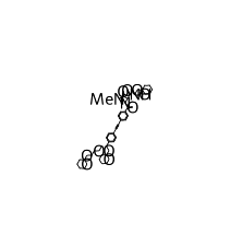 CNC(=O)[C@@](C)(C(=O)NOC1CCCCO1)N(C)C(=O)c1ccc(C#Cc2ccc([C@@H](COCCOC3CCCCO3)OC3CCCCO3)cc2)cc1